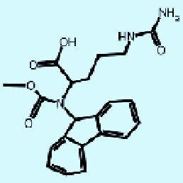 COC(=O)N(C(CCCNC(N)=O)C(=O)O)C1c2ccccc2-c2ccccc21